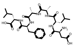 CC(C)C[C@H](NC(=O)[C@H](Cc1ccccc1)NC(=O)[C@H](C)NC(=O)[C@H](C)NC(=O)[C@H](CC(C)C)NC(=O)[C@@H](N)CC(=O)O)C(=O)O